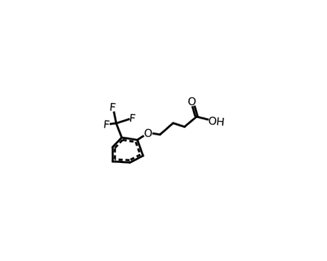 O=C(O)CCCOc1ccccc1C(F)(F)F